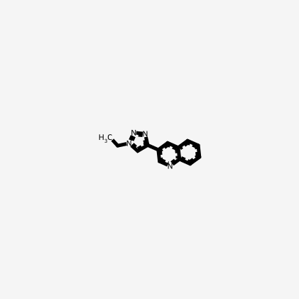 CCn1cc(-c2cnc3ccccc3c2)nn1